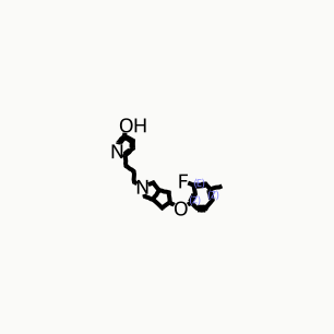 CC1=C/C#C/C(OC2CC3CN(CCCc4ccc(O)cn4)CC3C2)=C/C(F)=C\1